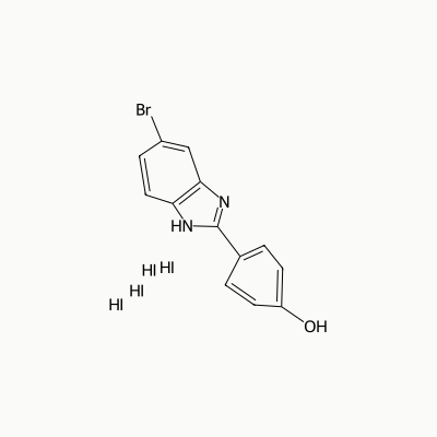 I.I.I.I.Oc1ccc(-c2nc3cc(Br)ccc3[nH]2)cc1